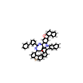 c1ccc(-c2cccc(C3=N/C(c4cc5oc6ccc7ccccc7c6c5cc4-n4c5cc6ccccc6cc5c5c6ccccc6ccc54)CCC/C(c4cccc5sc6ccccc6c45)=N\3)c2)cc1